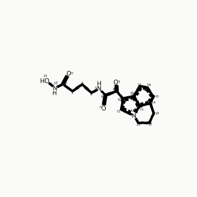 O=C(CCCNC(=O)C(=O)c1cn2c3c(cccc13)CCC2)NO